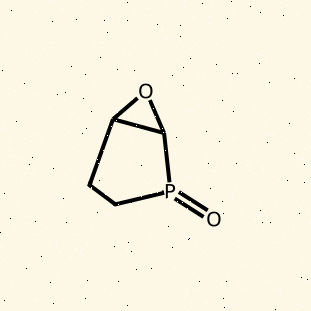 O=[P]1CCC2OC21